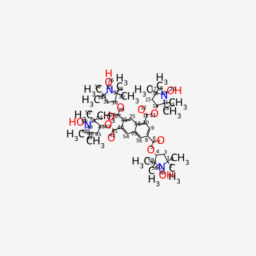 CC1(C)CC(OC(=O)c2cc(C(=O)OC3CC(C)(C)N(O)C3(C)C)c3cc(C(=O)OC4CC(C)(C)N(O)C4(C)C)c(C(=O)OC4CC(C)(C)N(O)C4(C)C)cc3c2)C(C)(C)N1O